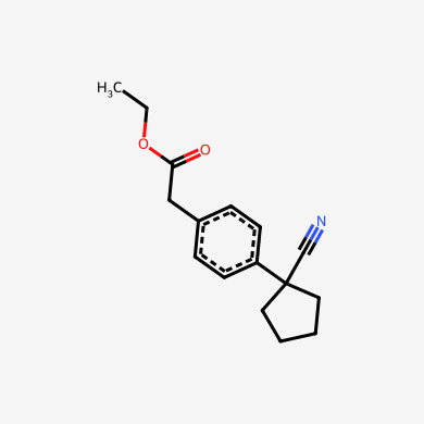 CCOC(=O)Cc1ccc(C2(C#N)CCCC2)cc1